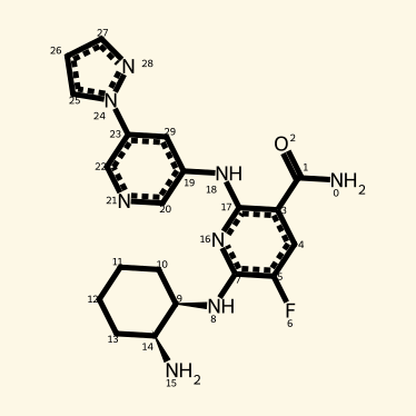 NC(=O)c1cc(F)c(N[C@@H]2CCCC[C@@H]2N)nc1Nc1cncc(-n2cccn2)c1